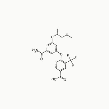 COCC(C)Oc1cc(Oc2ccc(C(=O)O)cc2C(F)(F)F)cc(C(N)=O)c1